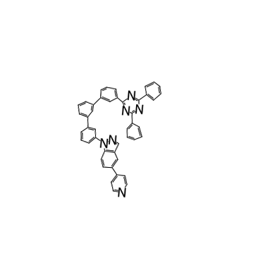 c1ccc(-c2nc(-c3ccccc3)nc(-c3cccc(-c4cccc(-c5cccc(-n6ncc7cc(-c8ccncc8)ccc76)c5)c4)c3)n2)cc1